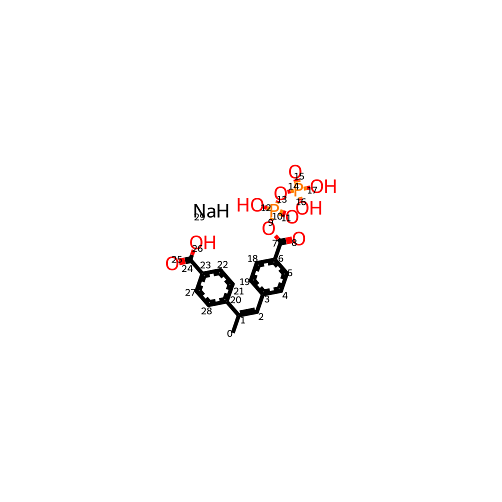 CC(=Cc1ccc(C(=O)OP(=O)(O)OP(=O)(O)O)cc1)c1ccc(C(=O)O)cc1.[NaH]